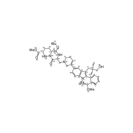 CCn1c(-c2cccnc2C(C)OC)c(CC(F)(F)CO)c2cc(C3=CCCN(CC(NC(=O)OC(C)(C)C)C(=O)N4CCC[C@@H](C(=O)OC)N4)C3)ccc21